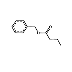 CCCC(=O)OCc1ccccc1